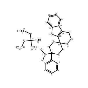 CN(C)C1(c2ccccn2)CCC2(CC1)OCCc1c2sc2ccccc12.O=C(O)CC(O)(CC(=O)O)C(=O)O